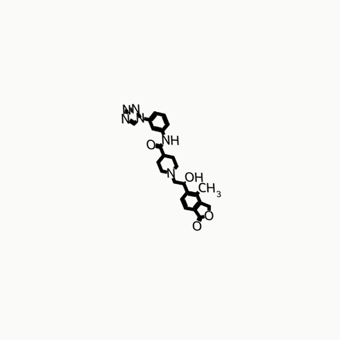 Cc1c([C@@H](O)CN2CCC(C(=O)Nc3cccc(-n4cnnn4)c3)CC2)ccc2c1COC2=O